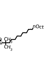 CCCCCCCCCCCCCCCCCC(C)(C)[SiH2]O